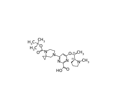 C[C@H](Oc1cc(N2CCN(C(=O)OC(C)(C)C)C3(CC3)C2)nc(C(=O)O)n1)[C@@H]1CCCN1C